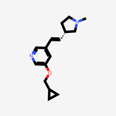 CN1CC[C@@H](C=Cc2cncc(OCC3CC3)c2)C1